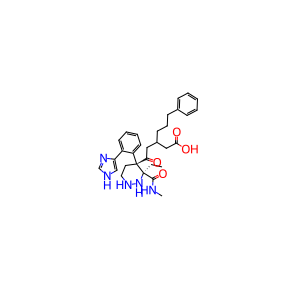 CC[C@]1(C(=O)NC)NNCC[C@]1(C(=O)CC(CCCc1ccccc1)CC(=O)O)c1ccccc1-c1c[nH]cn1